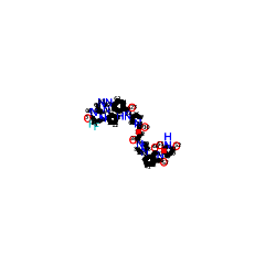 CN1C(=O)C(F)(F)CN(C2CCCC2)c2nc(Nc3ccc(C(=O)N[C@H]4CCN(C(=O)CCC(=O)N5CCN(c6cccc7c6C(=O)N(C6CCC(=O)NC6=O)C7=O)CC5)C4)cc3)ncc21